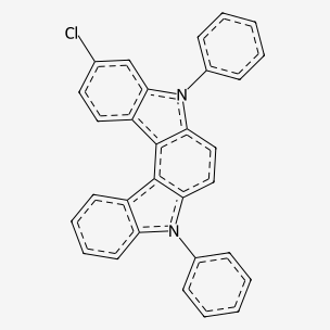 Clc1ccc2c3c4c5ccccc5n(-c5ccccc5)c4ccc3n(-c3ccccc3)c2c1